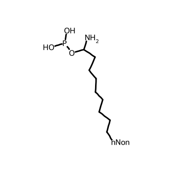 CCCCCCCCCCCCCCCCCC(N)OP(O)O